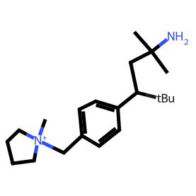 CC(C)(N)CC(c1ccc(C[N+]2(C)CCCC2)cc1)C(C)(C)C